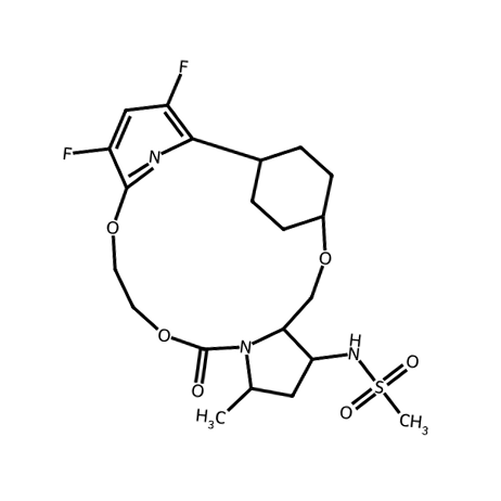 CC1CC(NS(C)(=O)=O)C2COC3CCC(CC3)c3nc(c(F)cc3F)OCCOC(=O)N12